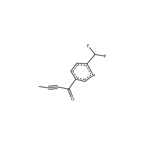 CC#CC(=O)c1ccc(C(F)F)nc1